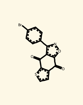 O=C1c2ccsc2C(=O)c2c(-c3ccc(Br)cc3)noc21